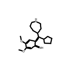 COC1=CC(=N)/C(=C(\C2CCCC2)C2CCCNCC2)C=C1OC